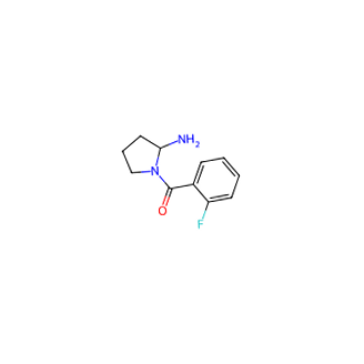 NC1CCCN1C(=O)c1ccccc1F